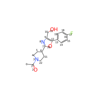 CC(=O)N1CCC(c2nc(CO)c(-c3ccc(F)cc3)o2)CC1